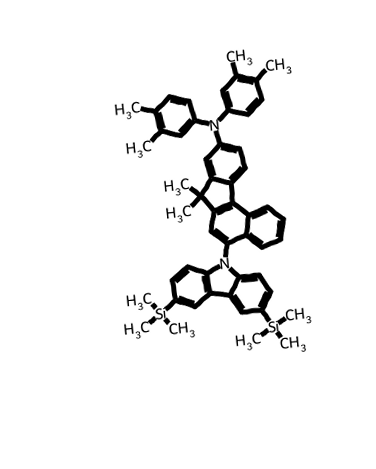 Cc1ccc(N(c2ccc(C)c(C)c2)c2ccc3c(c2)C(C)(C)c2cc(-n4c5ccc([Si](C)(C)C)cc5c5cc([Si](C)(C)C)ccc54)c4ccccc4c2-3)cc1C